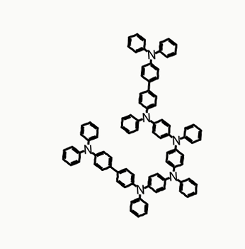 c1ccc(N(c2ccccc2)c2ccc(-c3ccc(N(c4ccccc4)c4ccc(N(c5ccccc5)c5ccc(N(c6ccccc6)c6ccc(N(c7ccccc7)c7ccc(-c8ccc(N(c9ccccc9)c9ccccc9)cc8)cc7)cc6)cc5)cc4)cc3)cc2)cc1